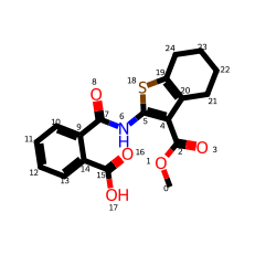 COC(=O)c1c(NC(=O)c2ccccc2C(=O)O)sc2c1CCCC2